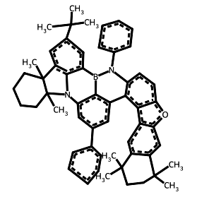 CC(C)(C)c1cc2c3c(c1)C1(C)CCCCC1(C)N3c1cc(-c3ccccc3)cc3c1B2N(c1ccccc1)c1ccc2oc4cc5c(cc4c2c1-3)C(C)(C)CCC5(C)C